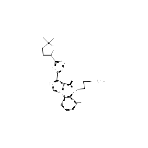 COCCn1c(=O)c2c(-c3nc(C4CCC(C)(C)O4)no3)ncn2c2cccc(Cl)c21